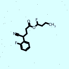 CCCC(F)OC(=O)CCC(C#N)c1ccccc1F